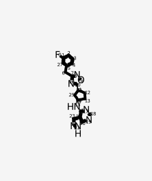 Fc1cccc(Cc2noc([C@H]3CC[C@H](Nc4ncnc5[nH]ncc45)C3)n2)c1